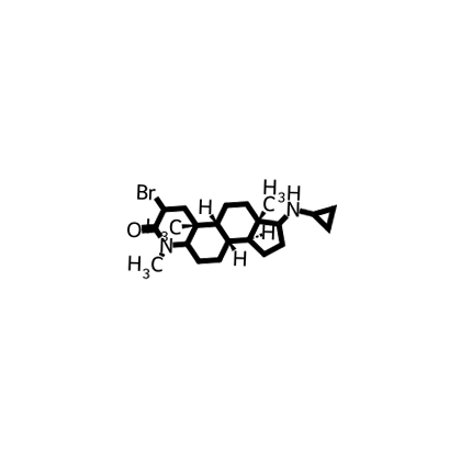 CN1C(=O)C(Br)C[C@@]2(C)C1CC[C@@H]1[C@H]2CC[C@]2(C)C(NC3CC3)CC[C@@H]12